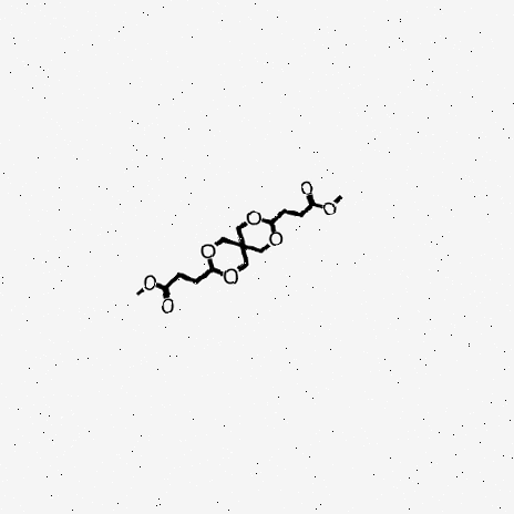 COC(=O)CCC1OCC2(CO1)COC(CCC(=O)OC)OC2